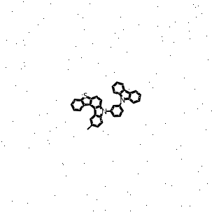 Cc1ccc2c(c1)c1c3c(ccc1n2-c1cccc(-n2c4ccccc4c4ccccc42)c1)sc1ccccc13